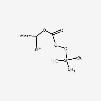 CCCCCCC(CCC)OC(=O)OO[Si](C)(C)C(C)(C)C